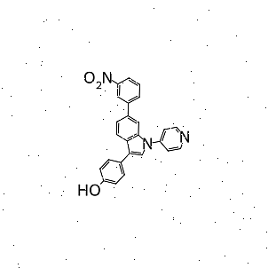 O=[N+]([O-])c1cccc(-c2ccc3c(-c4ccc(O)cc4)cn(-c4ccncc4)c3c2)c1